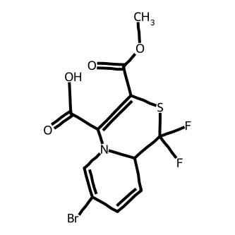 COC(=O)C1=C(C(=O)O)N2C=C(Br)C=CC2C(F)(F)S1